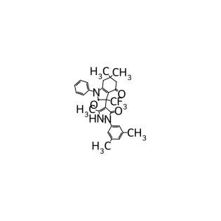 Cc1cc(C)cc(-n2[nH]c(C)c(C3(C(F)(F)F)C(=O)N(c4ccccc4)C4=C3C(=O)CC(C)(C)C4)c2=O)c1